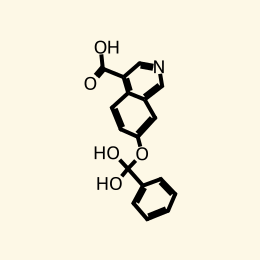 O=C(O)c1cncc2cc(OC(O)(O)c3ccccc3)ccc12